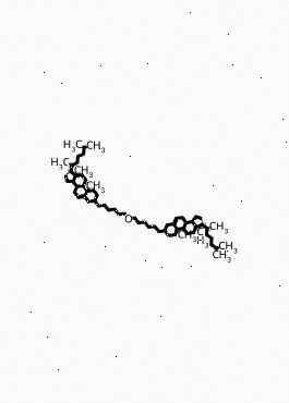 CC(C)CCC[C@@H](C)[C@H]1CCC2C3CC=C4CC(CCCCCCOCCCCCCC5CC[C@@]6(C)C(=CCC7C6CC[C@@]6(C)C7CC[C@@H]6[C@H](C)CCCC(C)C)C5)CC[C@]4(C)C3CC[C@@]21C